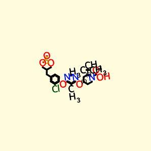 Cc1c(Oc2ccc(CC3COS(=O)OC3)cc2Cl)ncnc1O[C@H]1CCN(C(=O)O)[C@H](C(C)(C)C)C1